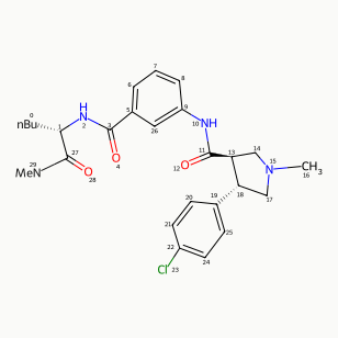 CCCC[C@H](NC(=O)c1cccc(NC(=O)[C@H]2CN(C)C[C@@H]2c2ccc(Cl)cc2)c1)C(=O)NC